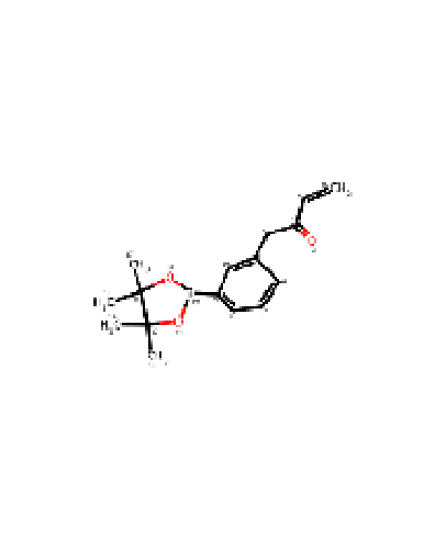 C=CC(=O)Cc1cccc(B2OC(C)(C)C(C)(C)O2)c1